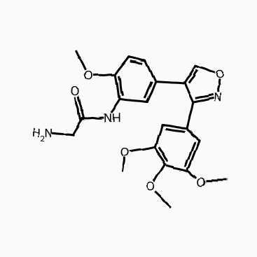 COc1ccc(-c2conc2-c2cc(OC)c(OC)c(OC)c2)cc1NC(=O)CN